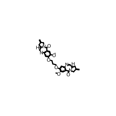 C=C1C[C@@H]2C=Nc3cc(OCCCOc4cc5c(cc4OC)C(=O)N4CC(=C)C[C@@H]4C=N5)c(OC)cc3C(=O)N2C1